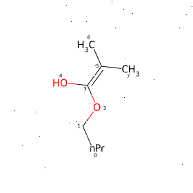 CCCCOC(O)=C(C)C